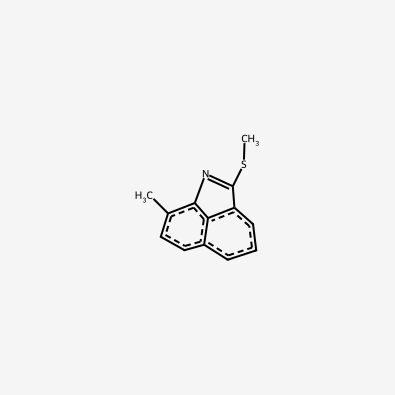 CSC1=Nc2c(C)ccc3cccc1c23